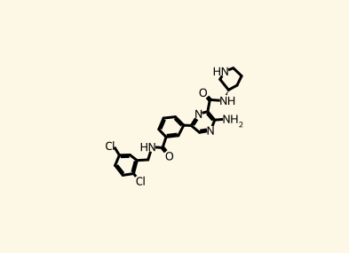 Nc1ncc(-c2cccc(C(=O)NCc3cc(Cl)ccc3Cl)c2)nc1C(=O)N[C@H]1CCCNC1